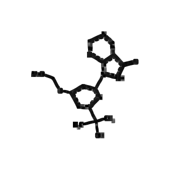 COCOc1cc(-n2[nH]c(=O)c3cncnc32)nc(C(C)(C)O)c1